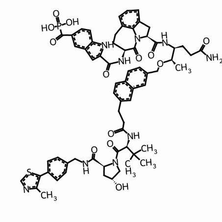 Cc1ncsc1-c1ccc(CNC(=O)[C@@H]2C[C@@H](O)CN2C(=O)[C@@H](NC(=O)CCc2ccc3ccc(CO[C@H](C)[C@H](CCC(N)=O)NC(=O)[C@@H]4Cc5cccc6c5N4C(=O)[C@@H](NC(=O)c4cc5cc(C(=O)P(=O)(O)O)ccc5[nH]4)CC6)cc3c2)C(C)(C)C)cc1